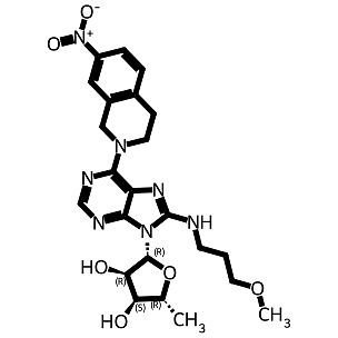 COCCCNc1nc2c(N3CCc4ccc([N+](=O)[O-])cc4C3)ncnc2n1[C@@H]1O[C@H](C)[C@@H](O)[C@H]1O